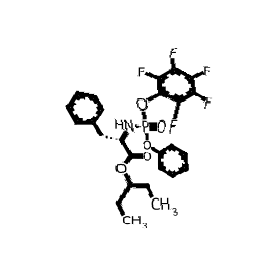 CCC(CC)OC(=O)[C@H](Cc1ccccc1)N[P@](=O)(Oc1ccccc1)Oc1c(F)c(F)c(F)c(F)c1F